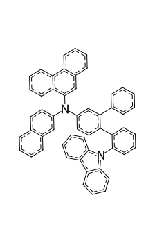 c1ccc(-c2cc(N(c3ccc4ccccc4c3)c3cc4ccccc4c4ccccc34)ccc2-c2ccccc2-n2c3ccccc3c3ccccc32)cc1